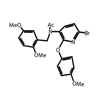 COc1ccc(Oc2nc(Br)ccc2N(Cc2cc(OC)ccc2OC)C(C)=O)cc1